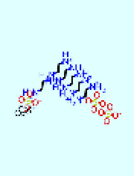 NCCN.NCCN.NCCN.NCCN.NCCN.NCCN.O=S(=O)([O-])[O-].O=S(=O)([O-])[O-].O=S(=O)([O-])[O-].[Co+3].[Co+3]